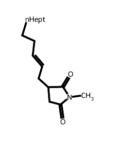 CCCCCCCCCC=CCC1CC(=O)N(C)C1=O